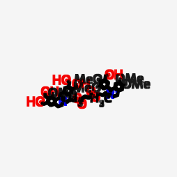 COc1cc2c(cc1OC)C(c1cc(CO)c(OC)c(OC)c1)[N+](C)(CCCOC(=O)/C=C/C(=O)OCCC[N+]1(C)CCc3cc(CO)c(CO)c(OC)c3C1Cc1ccc(CO)c(CO)c1)CC2